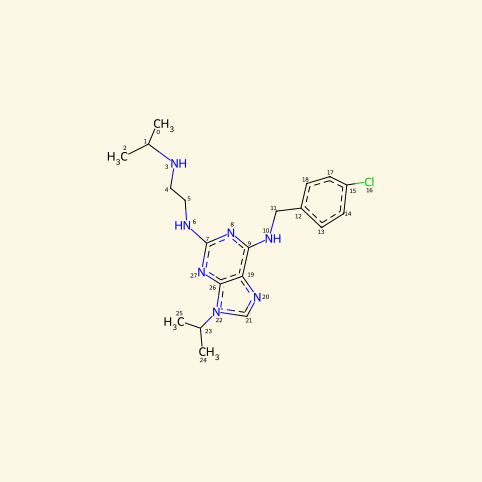 CC(C)NCCNc1nc(NCc2ccc(Cl)cc2)c2ncn(C(C)C)c2n1